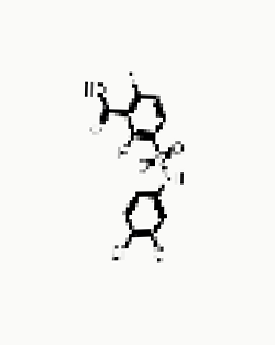 O=C(O)c1c(F)ccc(S(=O)(=O)Nc2ccc(Cl)c(Cl)c2)c1F